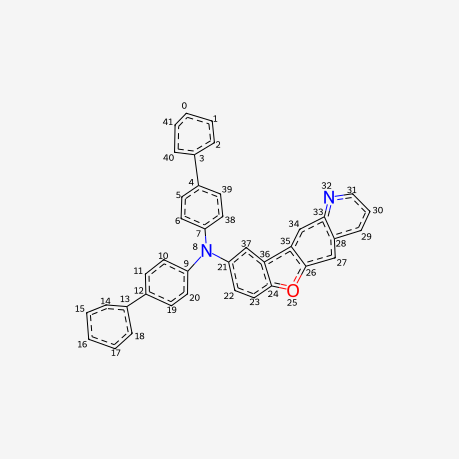 c1ccc(-c2ccc(N(c3ccc(-c4ccccc4)cc3)c3ccc4oc5cc6cccnc6cc5c4c3)cc2)cc1